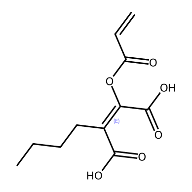 C=CC(=O)O/C(C(=O)O)=C(\CCCC)C(=O)O